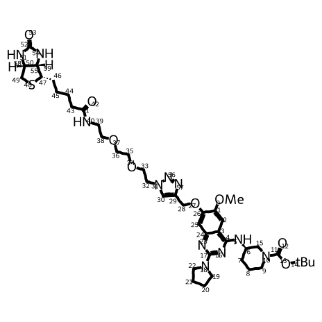 COc1cc2c(N[C@@H]3CCCN(C(=O)OC(C)(C)C)C3)nc(N3CCCC3)nc2cc1OCc1cn(CCOCCOCCNC(=O)CCCC[C@@H]2SC[C@@H]3NC(=O)N[C@@H]32)nn1